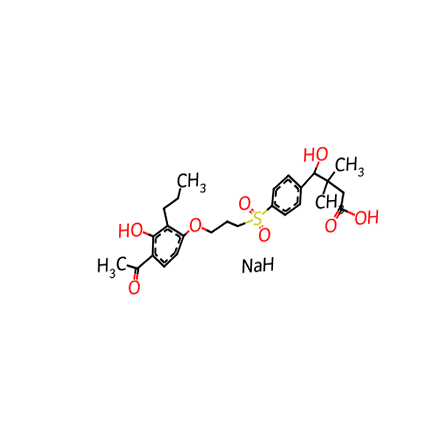 CCCc1c(OCCCS(=O)(=O)c2ccc(C(O)C(C)(C)CC(=O)O)cc2)ccc(C(C)=O)c1O.[NaH]